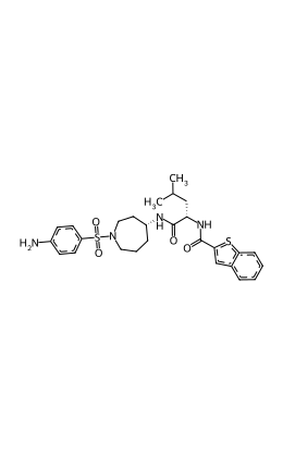 CC(C)C[C@H](NC(=O)c1cc2ccccc2s1)C(=O)N[C@@H]1CCCN(S(=O)(=O)c2ccc(N)cc2)CC1